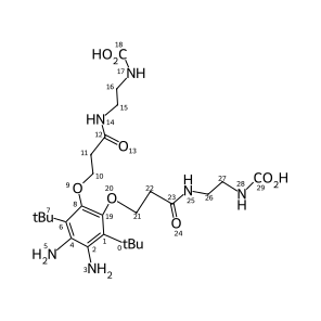 CC(C)(C)c1c(N)c(N)c(C(C)(C)C)c(OCCC(=O)NCCNC(=O)O)c1OCCC(=O)NCCNC(=O)O